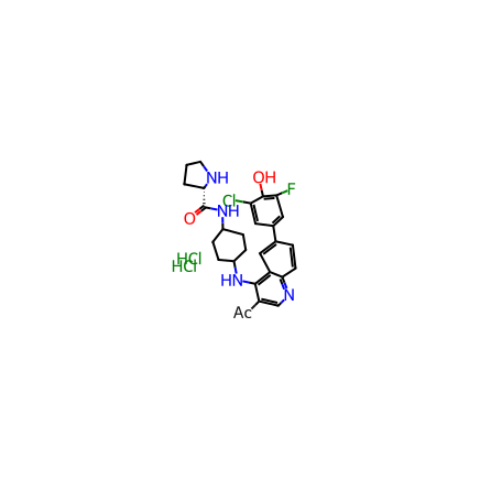 CC(=O)c1cnc2ccc(-c3cc(F)c(O)c(Cl)c3)cc2c1NC1CCC(NC(=O)[C@@H]2CCCN2)CC1.Cl.Cl